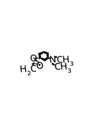 C=CS(=O)(=O)c1cccc(N(CC)CC)c1